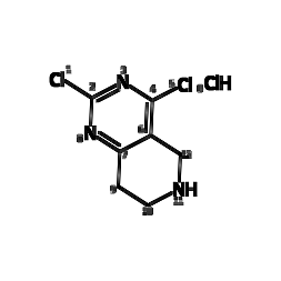 Cl.Clc1nc(Cl)c2c(n1)CCNC2